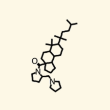 CC(C)CCC(C)(C)C1CCC2C3CCCC3(C(=O)N3CCCC3CN3CCCC3)CCC2C1(C)C